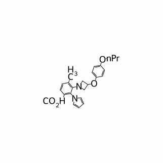 CCCOc1ccc(OC2CN(c3c(C)ccc(C(=O)O)c3-n3cccc3)C2)cc1